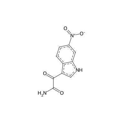 NC(=O)C(=O)c1c[nH]c2cc([N+](=O)[O-])ccc12